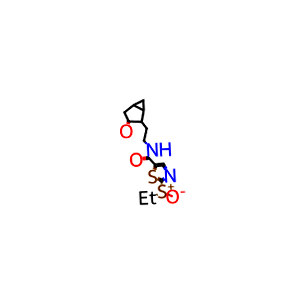 CC[S+]([O-])c1ncc(C(=O)NCCC2C(=O)CC3CC32)s1